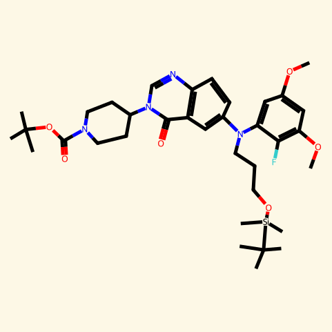 COc1cc(OC)c(F)c(N(CCCO[Si](C)(C)C(C)(C)C)c2ccc3ncn(C4CCN(C(=O)OC(C)(C)C)CC4)c(=O)c3c2)c1